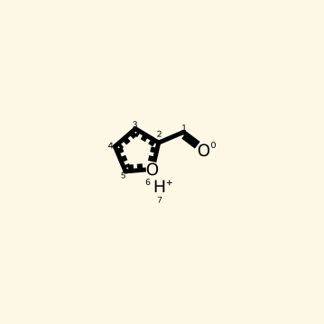 O=Cc1ccco1.[H+]